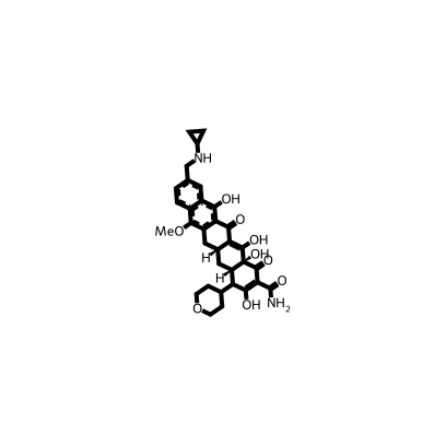 COc1c2c(c(O)c3cc(CNC4CC4)ccc13)C(=O)C1=C(O)[C@]3(O)C(=O)C(C(N)=O)=C(O)C(C4CCOCC4)[C@@H]3C[C@@H]1C2